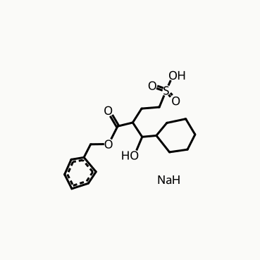 O=C(OCc1ccccc1)C(CCS(=O)(=O)O)C(O)C1CCCCC1.[NaH]